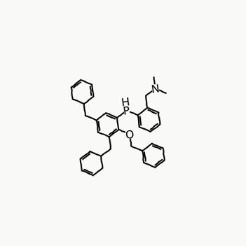 CN(C)Cc1ccccc1Pc1cc(CC2C=CC=CC2)cc(CC2C=CC=CC2)c1OCc1ccccc1